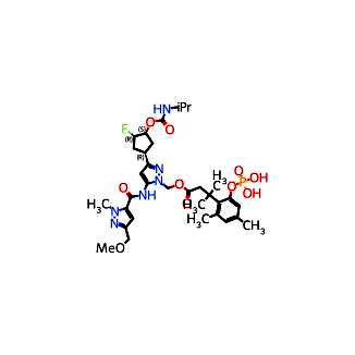 COCc1cc(C(=O)Nc2cc([C@H]3C[C@@H](F)[C@@H](OC(=O)NC(C)C)C3)nn2COC(=O)CC(C)(C)c2c(C)cc(C)cc2OP(=O)(O)O)n(C)n1